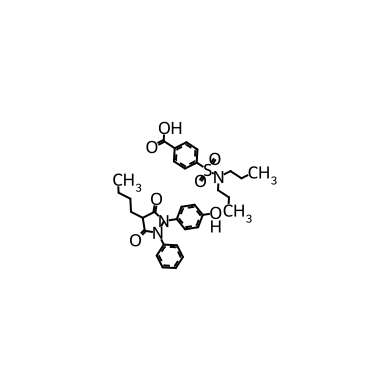 CCCCC1C(=O)N(c2ccccc2)N(c2ccc(O)cc2)C1=O.CCCN(CCC)S(=O)(=O)c1ccc(C(=O)O)cc1